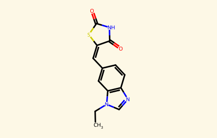 CCn1cnc2ccc(C=C3SC(=O)NC3=O)cc21